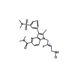 Cc1c(-c2cccc(S(=O)(=O)N(C)C)c2)c2nc(C(=O)N(C)C)ccc2n1C/C(F)=C/CNCl